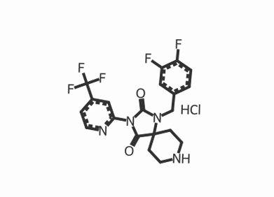 Cl.O=C1N(c2cc(C(F)(F)F)ccn2)C(=O)C2(CCNCC2)N1Cc1ccc(F)c(F)c1